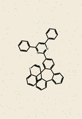 c1ccc(-c2cc(-c3ccccc3)nc(-c3ccc4c(c3)C3(c5ccccc5Sc5ccccc53)c3ccccc3-c3ccccc3-4)n2)cc1